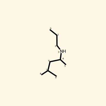 CCCNC(C)CC(C)C